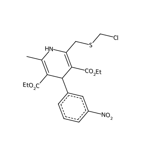 CCOC(=O)C1=C(C)NC(CSCCl)=C(C(=O)OCC)C1c1cccc([N+](=O)[O-])c1